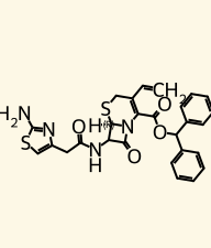 C=CC1=C(C(=O)OC(c2ccccc2)c2ccccc2)N2C(=O)C(NC(=O)Cc3csc(N)n3)[C@H]2SC1